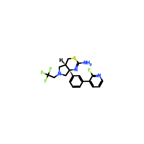 NC1=N[C@@]2(c3cccc(-c4cccnc4F)c3)CN(CC(F)(F)F)C[C@H]2CS1